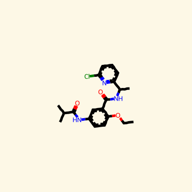 CCOc1ccc(NC(=O)C(C)C)cc1C(=O)NC(C)c1cccc(Cl)n1